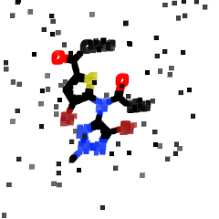 COC(=O)c1cc(Br)c(N(C(=O)C(C)(C)C)c2nn(C)nc2Br)s1